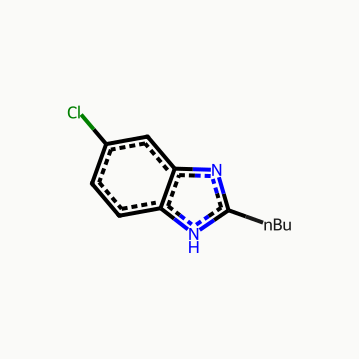 CCCCc1nc2cc(Cl)ccc2[nH]1